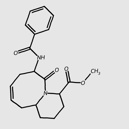 COC(=O)C1CCCC2C/C=C\CC(NC(=O)c3ccccc3)C(=O)N21